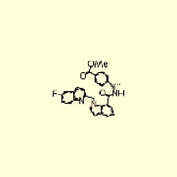 COC(=O)c1ccc([C@H](C)NC(=O)c2cccc3ccn(Cc4ccc5cc(F)ccc5n4)c23)cc1